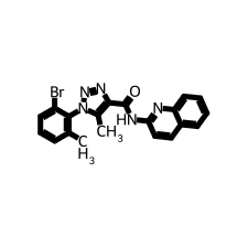 Cc1cccc(Br)c1-n1nnc(C(=O)Nc2ccc3ccccc3n2)c1C